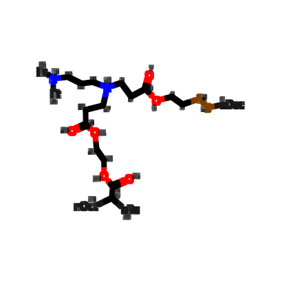 CCCCCCCCCCSSCCOC(=O)CCN(CCCN(CC)CC)CCC(=O)OCCOC(=O)C(CCCC)CCCCCCCC